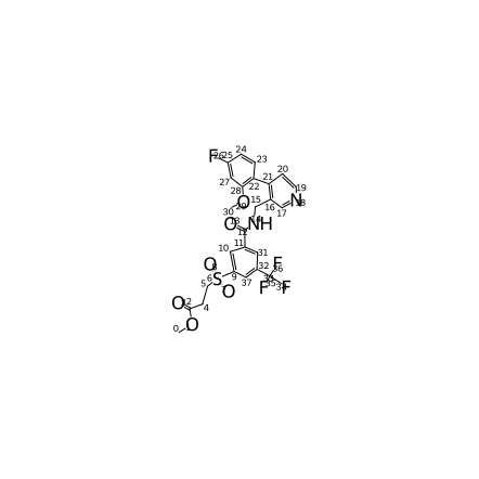 COC(=O)CCS(=O)(=O)c1cc(C(=O)NCc2cnccc2-c2ccc(F)cc2OC)cc(C(F)(F)F)c1